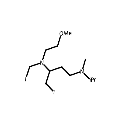 COCCN(CI)C(CI)CCN(C)C(C)C